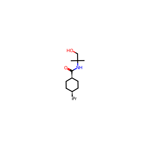 CC(C)[C@H]1CC[C@@H](C(=O)NC(C)(C)CO)CC1